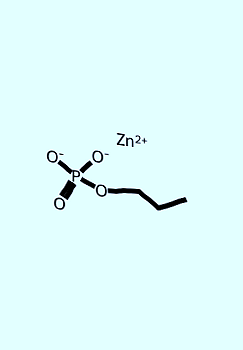 CCCOP(=O)([O-])[O-].[Zn+2]